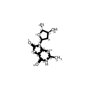 CC[C@H]1OC(n2c(=O)sc3c(=O)[nH]c(C)nc32)C[C@@H]1O